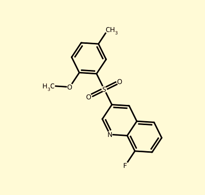 COc1ccc(C)cc1S(=O)(=O)c1cnc2c(F)cccc2c1